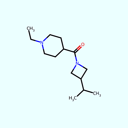 CCN1CCC(C(=O)N2CC(C(C)C)C2)CC1